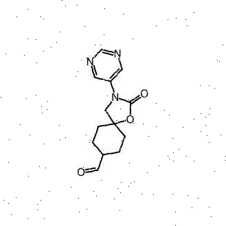 O=CC1CCC2(CC1)CN(c1cncnc1)C(=O)O2